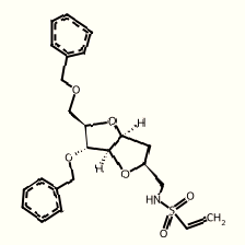 C=CS(=O)(=O)NC[C@@H]1C[C@@H]2O[C@H](COCc3ccccc3)[C@@H](OCc3ccccc3)[C@@H]2O1